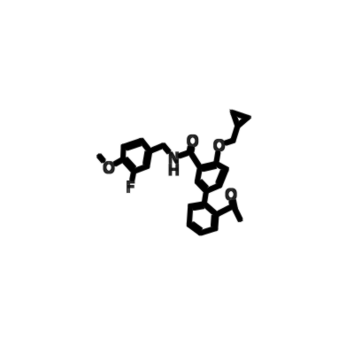 COc1ccc(CNC(=O)c2cc(-c3ccccc3C(C)=O)ccc2OCC2CC2)cc1F